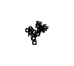 O=C1OCC(C[C@H]2c3[nH]c4ccc(Cl)cc4c3CCN2c2nc(C(F)(F)F)nc(C(F)(F)F)n2)CO1